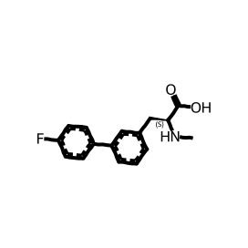 CN[C@@H](Cc1cccc(-c2ccc(F)cc2)c1)C(=O)O